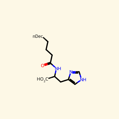 CCCCCCCCCCCCCC(=O)NC(Cc1c[nH]cn1)C(=O)O